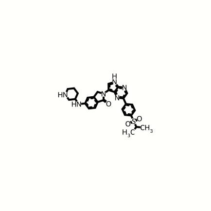 CC(C)S(=O)(=O)c1ccc(-c2cnc3[nH]cc(N4Cc5cc(NC6CCCNC6)ccc5C4=O)c3n2)cc1